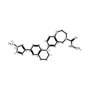 CNC(=O)N1CCOc2ccc(N3CCCc4cc(-c5cnn(C)c5)ccc43)cc2C1